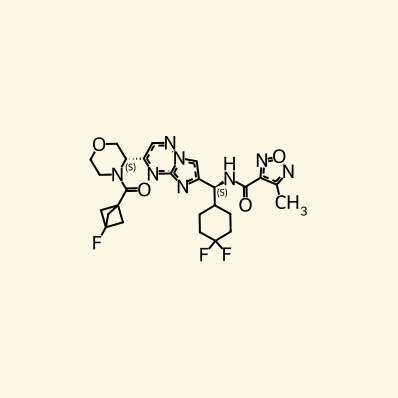 Cc1nonc1C(=O)N[C@H](c1cn2ncc([C@H]3COCCN3C(=O)C34CC(F)(C3)C4)nc2n1)C1CCC(F)(F)CC1